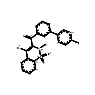 Cc1ccc(-c2cccc(C(=O)C3=C(O)c4ccccc4S(=O)(=O)N3C)c2)cn1